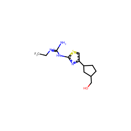 N/C(=N/CC(F)(F)F)Nc1nc(C2CCC(CO)C2)cs1